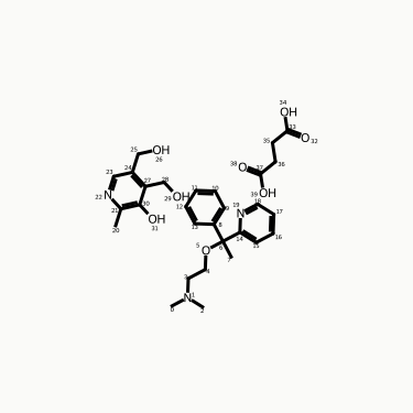 CN(C)CCOC(C)(c1ccccc1)c1ccccn1.Cc1ncc(CO)c(CO)c1O.O=C(O)CCC(=O)O